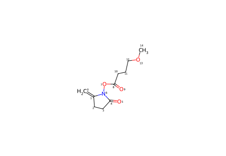 C=C1CCC(=O)N1OC(=O)CCCOC